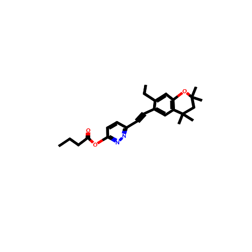 CCCC(=O)Oc1ccc(C#Cc2cc3c(cc2CC)OC(C)(C)CC3(C)C)nn1